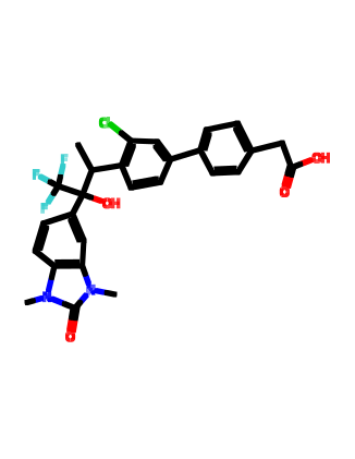 CC(c1ccc(-c2ccc(CC(=O)O)cc2)cc1Cl)C(O)(c1ccc2c(c1)n(C)c(=O)n2C)C(F)(F)F